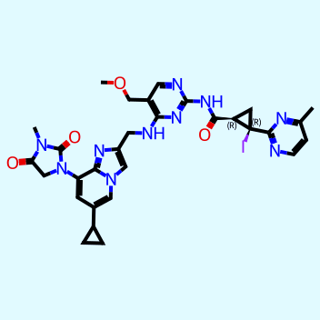 COCc1cnc(NC(=O)[C@H]2C[C@]2(I)c2nccc(C)n2)nc1NCc1cn2cc(C3CC3)cc(N3CC(=O)N(C)C3=O)c2n1